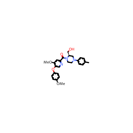 COc1ccc(Oc2cnc(C(=O)N3CCN(c4ccc(C)cc4)C[C@@H]3CO)cc2OC)cc1